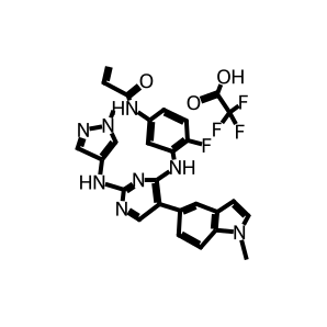 C=CC(=O)Nc1ccc(F)c(Nc2nc(Nc3cnn(C)c3)ncc2-c2ccc3c(ccn3C)c2)c1.O=C(O)C(F)(F)F